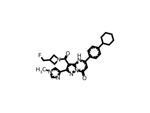 Cn1cnc(-c2nn3c(=O)cc(-c4ccc(C5CCCCC5)cc4)[nH]c3c2C(=O)N2CC(CF)C2)c1